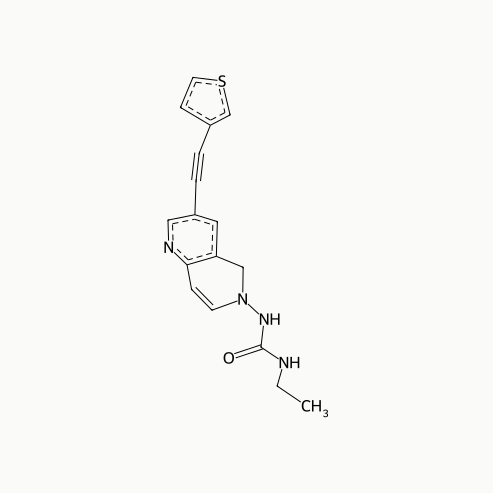 CCNC(=O)NN1C=Cc2ncc(C#Cc3ccsc3)cc2C1